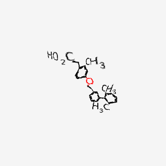 Cc1cc(OCc2cccc(-c3c(C)cccc3C)c2)ccc1CCC(=O)O